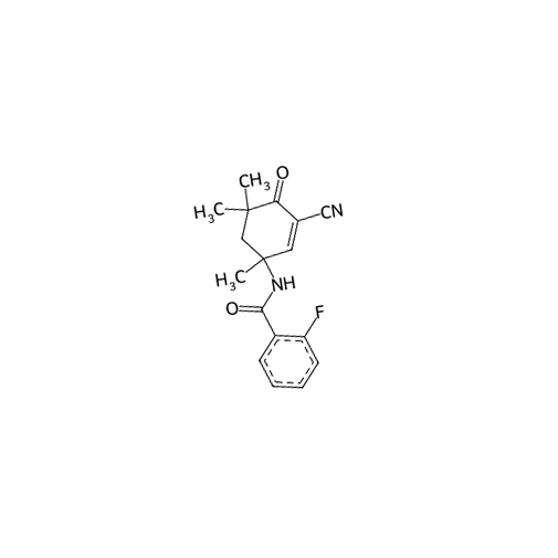 CC1(NC(=O)c2ccccc2F)C=C(C#N)C(=O)C(C)(C)C1